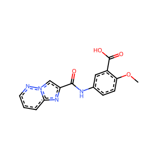 COc1ccc(NC(=O)c2cn3ncccc3n2)cc1C(=O)O